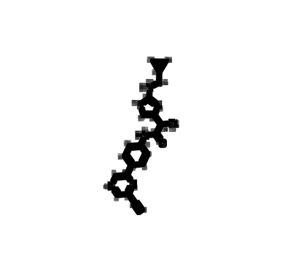 C#Cc1cncc(-c2ccc(NC(=O)C(CC)c3csc(NSC4CC4)n3)cc2)n1